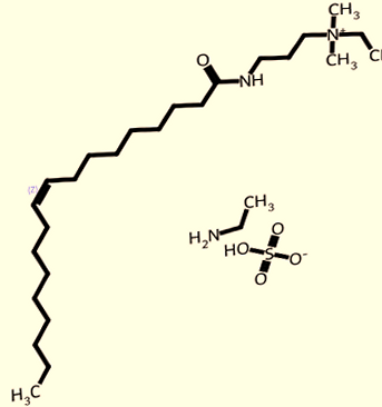 CCCCCCCC/C=C\CCCCCCCC(=O)NCCC[N+](C)(C)CC.CCN.O=S(=O)([O-])O